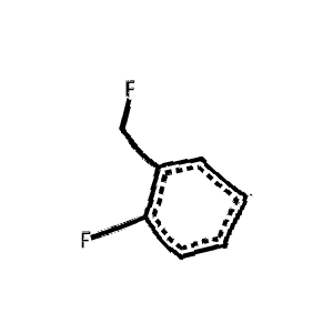 FCc1c[c]ccc1F